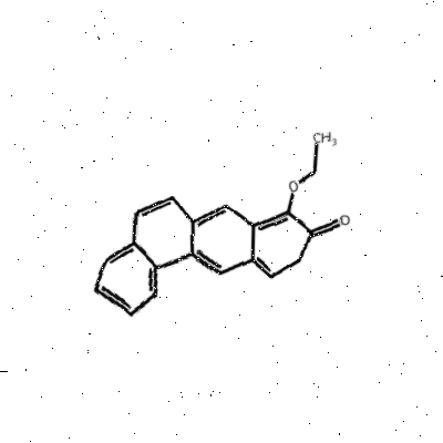 CCOC1=c2cc3ccc4ccccc4c3cc2=CCC1=O